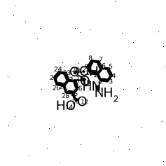 NNc1cccc2ccccc12.O=C(O)c1cc(S(=O)(=O)O)c2ccccc2c1